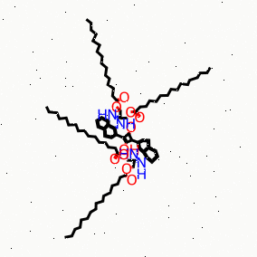 CCCCCCCCCCCCCCCC(=O)OCC1(COC(=O)CCCCCCCCCCCCCCC)Nc2cccc3ccc(C4=C(O)C(c5ccc6cccc7c6c5NC(COC(=O)CCCCCCCCCCCCCCC)(COC(=O)CCCCCCCCCCCCCCC)N7)C4=O)c(c23)N1